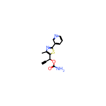 C#CC(OC(N)=O)c1sc(-c2cccnc2)nc1C